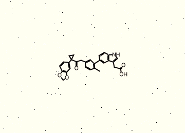 Cc1ccc(CC(=O)C2(c3ccc4c(c3)OCO4)CC2)cc1-c1ccc2[nH]cc(CC(=O)O)c2c1